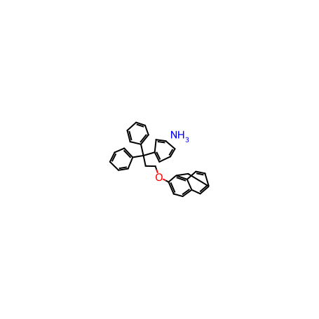 N.c1ccc(C(CCOc2ccc3cc4ccc3c2C4)(c2ccccc2)c2ccccc2)cc1